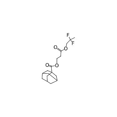 CC(F)(F)COC(=O)CCOC(=O)C12CC3CC(CC(C3)C1)C2